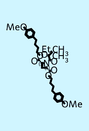 CCC(C)(C)C(=O)C(=O)N1[C@H](C(=O)OCCCCc2ccc(OC)cc2)C[C@H]1C(=O)OCCCCc1ccc(OC)cc1